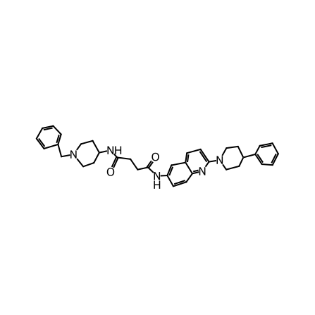 O=C(CCC(=O)NC1CCN(Cc2ccccc2)CC1)Nc1ccc2nc(N3CCC(c4ccccc4)CC3)ccc2c1